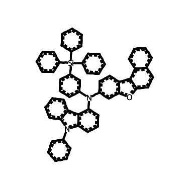 c1ccc(-n2c3ccccc3c3c(N(c4cccc([Si](c5ccccc5)(c5ccccc5)c5ccccc5)c4)c4ccc5c(c4)oc4ccc6ccccc6c45)cccc32)cc1